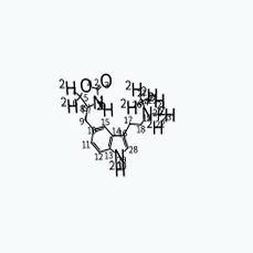 [2H]N1C(=O)OC([2H])([2H])[C@@H]1Cc1ccc2c(c1)c(CCN(C([2H])([2H])[2H])C([2H])([2H])[2H])cn2[2H]